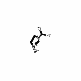 CC(C)C(=O)n1cc[n+](C(C)C)c1